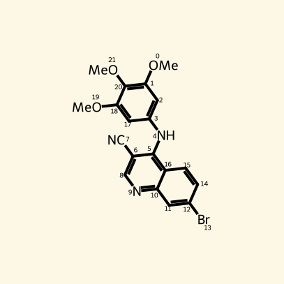 COc1cc(Nc2c(C#N)cnc3cc(Br)ccc23)cc(OC)c1OC